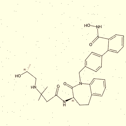 C[C@@H](O)CNC(C)(C)CC(=O)N[C@@H]1CCc2ccccc2N(Cc2ccc(-c3ccccc3C(=O)NO)cc2)C1=O